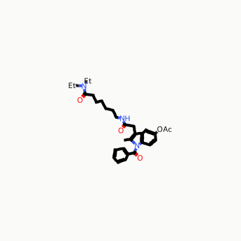 CCN(CC)C(=O)CCCCCCNC(=O)Cc1c(C)n(C(=O)c2ccccc2)c2ccc(OC(C)=O)cc12